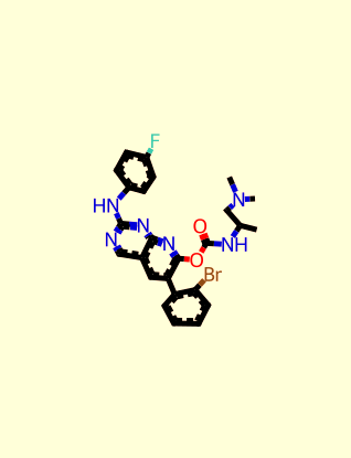 CC(CN(C)C)NC(=O)Oc1nc2nc(Nc3ccc(F)cc3)ncc2cc1-c1ccccc1Br